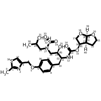 Cc1nc(COc2ccc(C[C@H](NC(=O)O[C@H]3CO[C@H]4OCC[C@H]43)[C@H](O)CN(CC(C)C)[SH](=O)=O)cc2)cs1